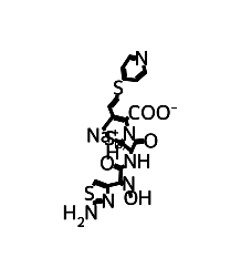 Nc1nc(C(=NO)C(=O)NC2C(=O)N3C(C(=O)[O-])=C(C=CSc4ccncc4)CS[C@@H]23)cs1.[Na+]